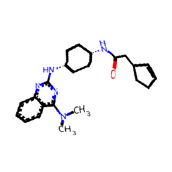 CN(C)c1nc(N[C@H]2CC[C@@H](NC(=O)CC3C=CCC3)CC2)nc2ccccc12